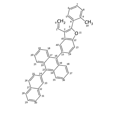 C=Cc1c(-c2ccccc2C)oc2ccc(-c3c4ccccc4c(-c4ccc5ccccc5c4)c4ccccc34)cc12